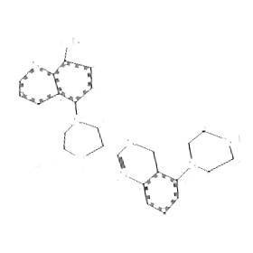 C[C@@H]1CN(c2ccc(C#N)c3ncccc23)C[C@H](C2=Nc3cccc(N4CCNCC4)c3CN2)O1